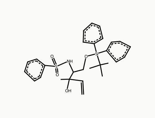 C=CC(C)(O)C(CO[Si](c1ccccc1)(c1ccccc1)C(C)(C)C)NS(=O)(=O)c1ccccc1